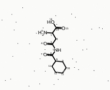 NC(CC(=O)NC(=O)C1CCCCC1)C(=O)O